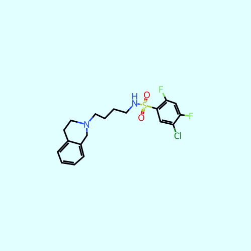 O=S(=O)(NCCCCN1CCc2ccccc2C1)c1cc(Cl)c(F)cc1F